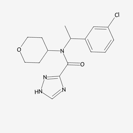 CC(c1cccc(Cl)c1)N(C(=O)c1nc[nH]n1)C1CCOCC1